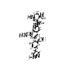 Cl.Cl.Oc1cc(-c2cn[nH]c2)ccc1-c1cc2sc(N3CC[C@H]4CCNC[C@H]43)nc2nn1